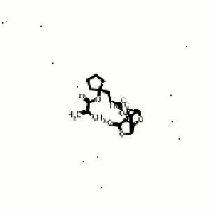 C=C(C)C(=O)OC1(CCC(=O)OC2C3OC(=O)C4C3OC2C4C(=O)O)CCCC1